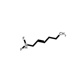 CCCC=CC[SiH](F)F